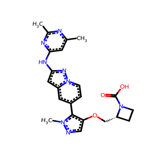 Cc1cc(Nc2cc3cc(-c4c(OC[C@H]5CCN5C(=O)O)cnn4C)ccn3n2)nc(C)n1